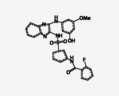 COc1cc(O)cc(Nc2nc3ccccc3nc2NS(=O)(=O)c2cccc(NC(=O)c3ccccc3F)c2)c1